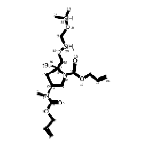 C=CCOC(=O)N(C)[C@@H]1CN(C(=O)OCC=C)[C@](CO[SiH2]CO[SiH](C)C)(C(C)(C)C)C1